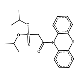 CC(C)OP(=S)(CC(=O)N1c2ccccc2Sc2ccccc21)OC(C)C